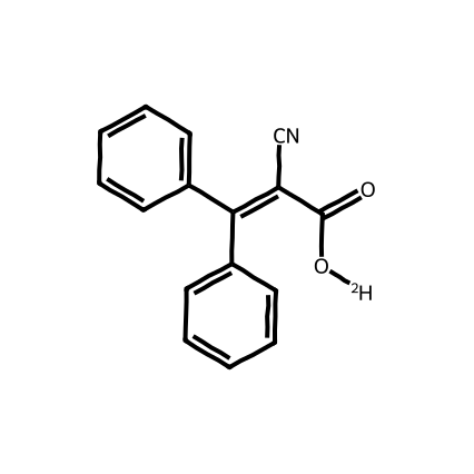 [2H]OC(=O)C(C#N)=C(c1ccccc1)c1ccccc1